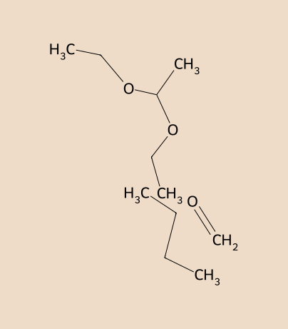 C=O.CCCC.CCOC(C)OCC